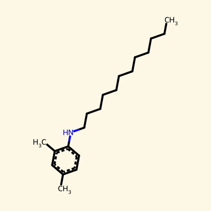 CCCCCCCCCCCCNc1ccc(C)cc1C